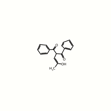 CC(O)=CC(C(=O)c1ccccc1)C(=O)c1ccccc1